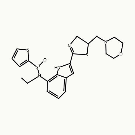 CCN(c1cccc2cc(C3=NCC(CN4CCOCC4)S3)[nH]c12)[S+]([O-])c1cccs1